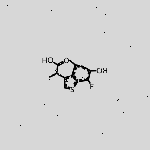 Cc1cc(O)c(F)c2scc(C(C)C(=O)O)c12